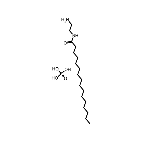 CCCCCCCCCCCCCCCC(=O)NCCN.O=P(O)(O)O